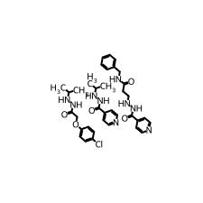 CC(C)NNC(=O)COc1ccc(Cl)cc1.CC(C)NNC(=O)c1ccncc1.O=C(CCNNC(=O)c1ccncc1)NCc1ccccc1